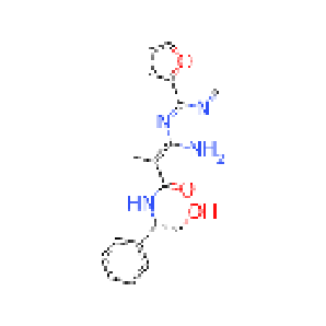 C=N/C(=N\C(N)=C(/C)C(=O)N[C@H](CO)c1ccccc1)c1ccco1